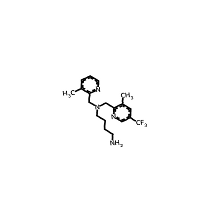 Cc1cccnc1CN(CCCCN)Cc1ncc(C(F)(F)F)cc1C